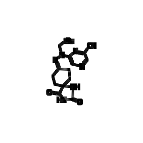 CC(C)(C)CN(N=C1CCC2(CC1)NC(=O)NC2=O)c1cncc(C#N)n1